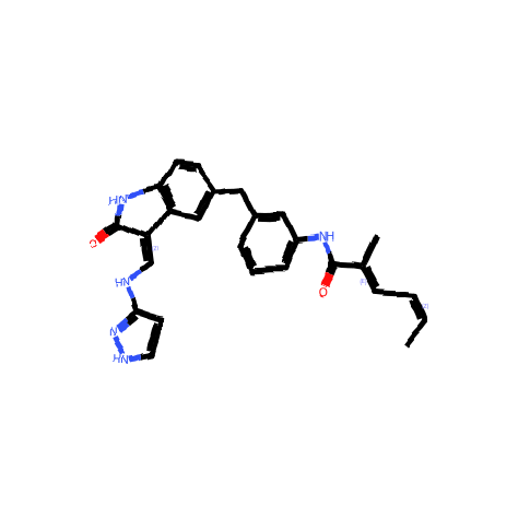 C/C=C\C=C(/C)C(=O)Nc1cccc(Cc2ccc3c(c2)/C(=C/Nc2cc[nH]n2)C(=O)N3)c1